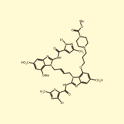 CCc1nc(C)sc1C(=O)Nc1nc2cc(C(=O)O)cc(OCCCN3CCN(C(=O)OC(C)(C)C)CC3)c2n1C/C=C/Cn1c(NC(=O)c2cc(C)nn2CC)nc2cc(C(=O)O)cc(OC)c21